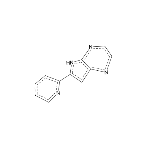 c1ccc(-c2cc3nccnc3[nH]2)nc1